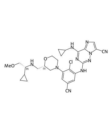 COC[C@H](NC[C@H]1CN(c2cc(C#N)cc(Nc3nc(NC4CC4)c4ncc(C#N)n4n3)c2Cl)CCO1)C1CC1